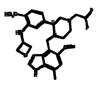 COc1cc(C)c2[nH]ccc2c1CN1CCN(CC(F)F)C[C@@H]1c1ccc(C(=O)O)c(NC2COC2)c1